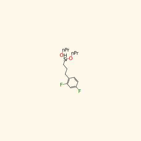 CCCO[SiH](CCCc1ccc(F)cc1F)OCCC